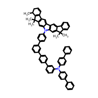 CC1CC=CC2=C1C(C)(C)c1cc3c(cc12)c1cc2c(cc1n3-c1ccc(-c3cccc(-c4ccc(-c5cccc(N(c6ccc(-c7ccccc7)cc6)c6ccc(-c7ccccc7)cc6)c5)cc4)c3)cc1)C(C)(C)c1ccccc1-2